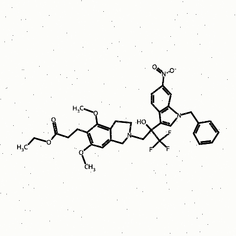 CCOC(=O)CCc1c(OC)cc2c(c1OC)CCN(CC(O)(c1cn(Cc3ccccc3)c3cc([N+](=O)[O-])ccc13)C(F)(F)F)C2